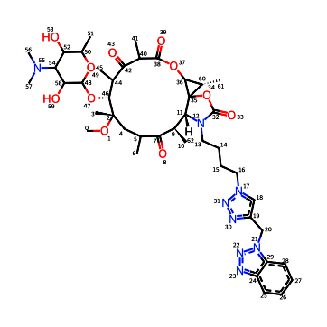 CO[C@@]1(C)CC(C)C(=O)[C@H](C)[C@H]2N(CCCCn3cc(Cn4nnc5ccccc54)nn3)C(=O)OC23C(OC(=O)C(C)C(=O)C(C)[C@H]1OC1OC(C)C(O)C(N(C)C)C1O)[C@@H]3C